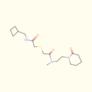 CN(CCN1CCCCC1=O)C(=O)CSCC(=O)NCC1CCC1